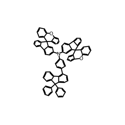 c1ccc(C2(c3ccccc3)c3ccccc3-c3c(-c4ccc(N(c5ccc6c(c5)C5(c7ccccc7Oc7ccccc75)c5ccccc5-6)c5ccc6c(c5)C5(c7ccccc7Oc7ccccc75)c5ccccc5-6)cc4)cccc32)cc1